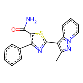 Cc1nn2ccccc2c1-c1nc(-c2ccccc2)c(C(N)=O)s1